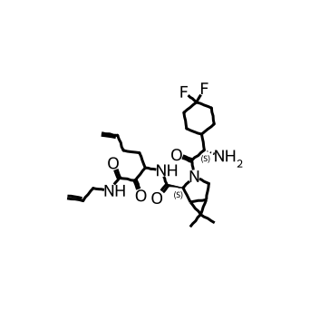 C=CCCC(NC(=O)[C@@H]1C2C(CN1C(=O)[C@@H](N)C1CCC(F)(F)CC1)C2(C)C)C(=O)C(=O)NCC=C